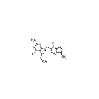 CC(=O)OCC1CN(Cc2cnc3c(ccn3C)c2Cl)c2nc(N)nc(Cl)c21